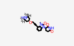 [2H]C1([2H])CC(OCC#Cc2cccc3c2n(C)c(=O)n3C2CCC(=O)NC2=O)CC([2H])([2H])N1